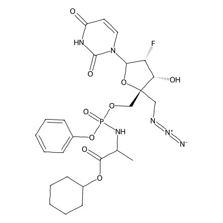 CC(NP(=O)(OC[C@@]1(CN=[N+]=[N-])OC(n2ccc(=O)[nH]c2=O)[C@H](F)[C@@H]1O)Oc1ccccc1)C(=O)OC1CCCCC1